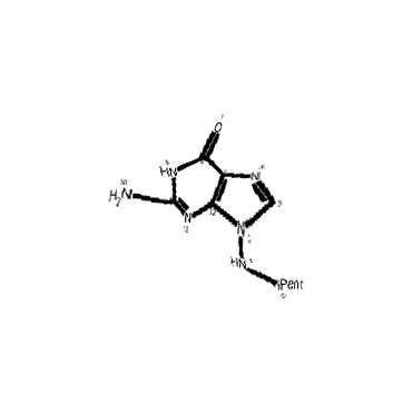 CCCC(C)Nn1cnc2c(=O)[nH]c(N)nc21